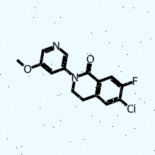 COc1cncc(N2CCc3cc(Cl)c(F)cc3C2=O)c1